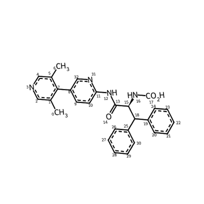 Cc1cncc(C)c1-c1ccc(NC(=O)[C@@H](NC(=O)O)C(c2ccccc2)c2ccccc2)nc1